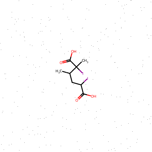 CC(CC(I)C(=O)O)C(C)(I)C(=O)O